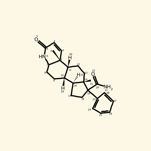 C[C@]12C=CC(=O)NC1CC[C@@H]1[C@H]2CC[C@@]2(C)[C@H]1CCC2(C(N)=O)c1ccccc1